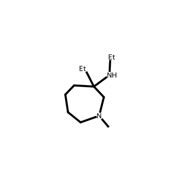 CCNC1(CC)CCCCN(C)C1